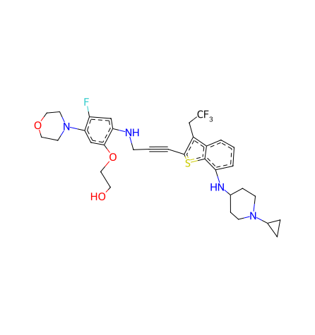 OCCOc1cc(N2CCOCC2)c(F)cc1NCC#Cc1sc2c(NC3CCN(C4CC4)CC3)cccc2c1CC(F)(F)F